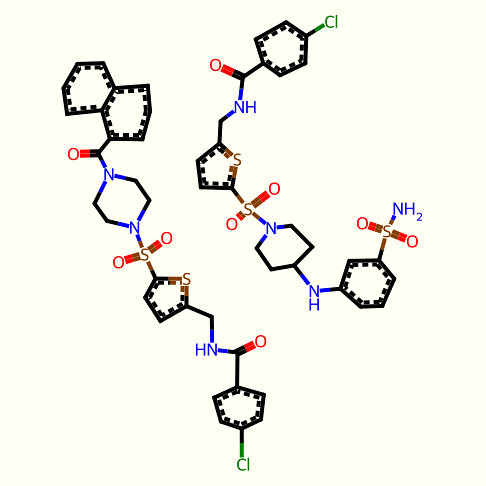 NS(=O)(=O)c1cccc(NC2CCN(S(=O)(=O)c3ccc(CNC(=O)c4ccc(Cl)cc4)s3)CC2)c1.O=C(NCc1ccc(S(=O)(=O)N2CCN(C(=O)c3cccc4ccccc34)CC2)s1)c1ccc(Cl)cc1